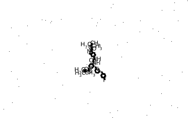 CC(C)(C)OC(=O)N1CC[C@@H](NC(=O)Nc2ccc3c(cnn3C(=O)OC(C)(C)C)c2)[C@H](CN2CCC[C@@H](Cc3ccc(F)cc3)C2)C1